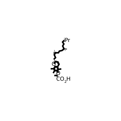 Cc1c(C)c2c(c(C)c1OC(C)C(=O)O)C=C[C@@H](CCC[C@H](C)CCC[C@H](C)CCCC(C)C)O2